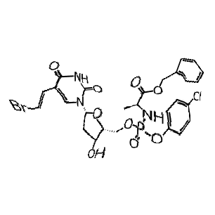 C[C@H](NP(=O)(OC[C@H]1O[C@@H](n2cc(/C=C/Br)c(=O)[nH]c2=O)CC1O)Oc1ccc(Cl)cc1)C(=O)OCc1ccccc1